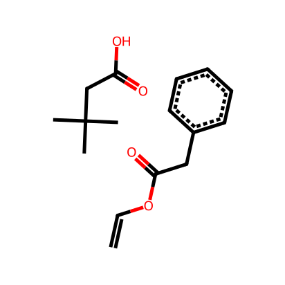 C=COC(=O)Cc1ccccc1.CC(C)(C)CC(=O)O